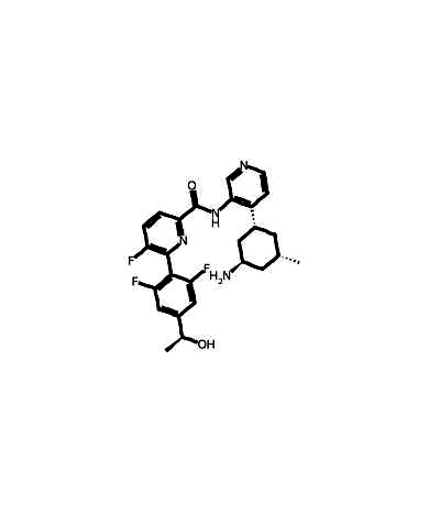 C[C@@H]1C[C@@H](N)C[C@H](c2ccncc2NC(=O)c2ccc(F)c(-c3c(F)cc([C@H](C)O)cc3F)n2)C1